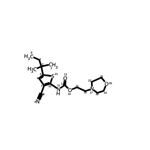 CCC(C)(C)c1cc(C#N)c(NC(=O)OCCN2CCOCC2)s1